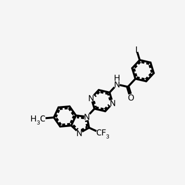 Cc1ccc2c(c1)nc(C(F)(F)F)n2-c1cnc(NC(=O)c2cccc(I)c2)cn1